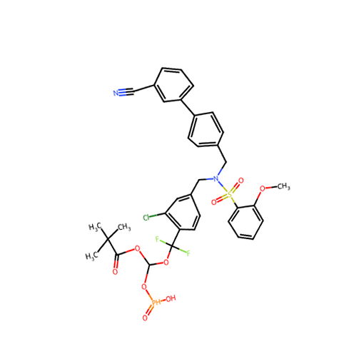 COc1ccccc1S(=O)(=O)N(Cc1ccc(-c2cccc(C#N)c2)cc1)Cc1ccc(C(F)(F)OC(OC(=O)C(C)(C)C)O[PH](=O)O)c(Cl)c1